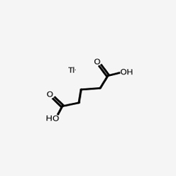 O=C(O)CCCC(=O)O.[Tl]